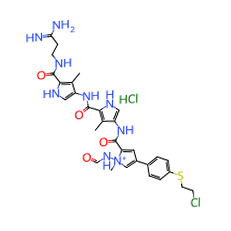 Cc1c(NC(=O)C2=CC(c3ccc(SCCCl)cc3)=C[N+]2(C)NC=O)c[nH]c1C(=O)Nc1c[nH]c(C(=O)NCCC(=N)N)c1C.Cl